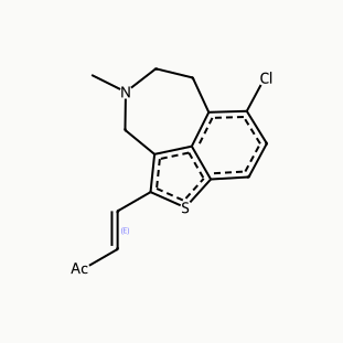 CC(=O)/C=C/c1sc2ccc(Cl)c3c2c1CN(C)CC3